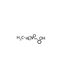 CCCN1CCN(C(=O)/C=C/c2ccccc2O)CC1